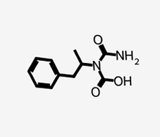 CC(Cc1ccccc1)N(C(N)=O)C(=O)O